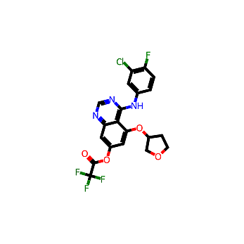 O=C(Oc1cc(OC2CCOC2)c2c(Nc3ccc(F)c(Cl)c3)ncnc2c1)C(F)(F)F